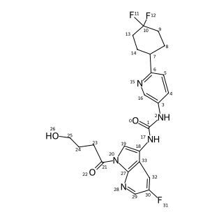 O=C(Nc1ccc(C2CCC(F)(F)CC2)nc1)Nc1cn(C(=O)CCCO)c2ncc(F)cc12